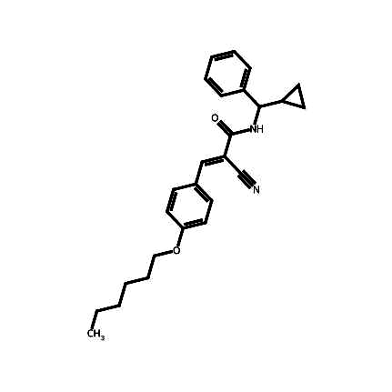 CCCCCCOc1ccc(/C=C(\C#N)C(=O)NC(c2ccccc2)C2CC2)cc1